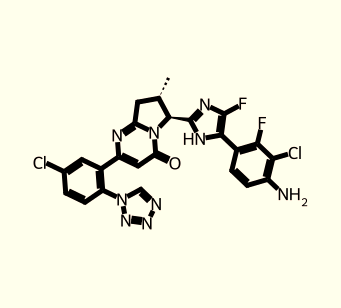 C[C@H]1Cc2nc(-c3cc(Cl)ccc3-n3cnnn3)cc(=O)n2[C@@H]1c1nc(F)c(-c2ccc(N)c(Cl)c2F)[nH]1